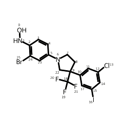 ONc1ccc(N2CCC(c3cc(Cl)cc(I)c3)(C(F)(F)F)C2)cc1Br